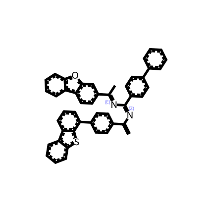 C=C(/N=C(\N=C(/C)c1ccc2c(c1)oc1ccccc12)c1ccc(-c2ccccc2)cc1)c1ccc(-c2cccc3c2sc2ccccc23)cc1